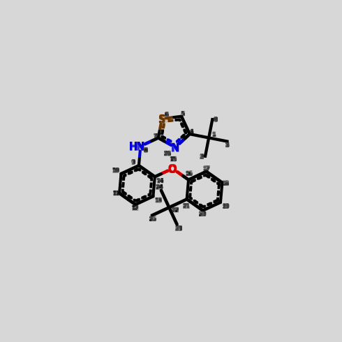 CC(C)(C)c1csc(Nc2ccccc2Oc2ccccc2C(C)(C)C)n1